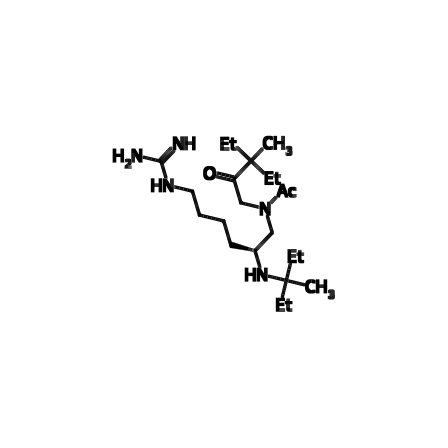 CCC(C)(CC)N[C@@H](CCCCNC(=N)N)CN(CC(=O)C(C)(CC)CC)C(C)=O